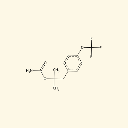 CC(C)(Cc1ccc(OC(F)(F)F)cc1)OC(N)=O